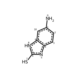 Nc1ccc2nc(S)[nH]c2c1